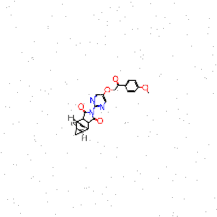 COc1ccc(C(=O)COc2cnc(N3C(=O)C4C(C3=O)[C@@H]3C=CC4[C@H]4CC34)nc2)cc1